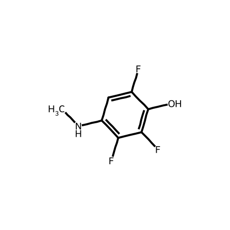 CNc1cc(F)c(O)c(F)c1F